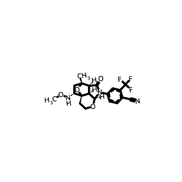 CON[C@@H]1C[C@@]2(C)O[C@@]13CCO[C@H]1[C@@H]3[C@@H]2C(=O)N1c1ccc(C#N)c(C(F)(F)F)c1